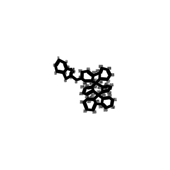 c1ccc2c(c1)CC(Cc1ccc3c(c1)C1(c4ccccc4-3)c3ccccc3C3(c4ccccc4-c4ccccc43)c3ccccc31)=N2